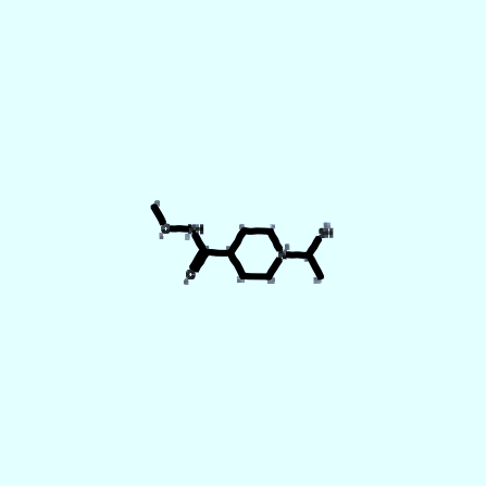 CONC(=O)C1CCN(C(C)S)CC1